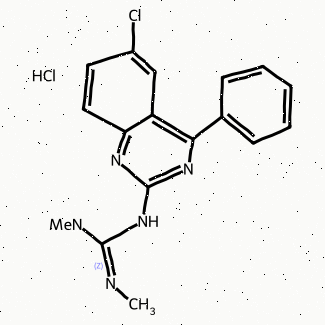 C/N=C(/NC)Nc1nc(-c2ccccc2)c2cc(Cl)ccc2n1.Cl